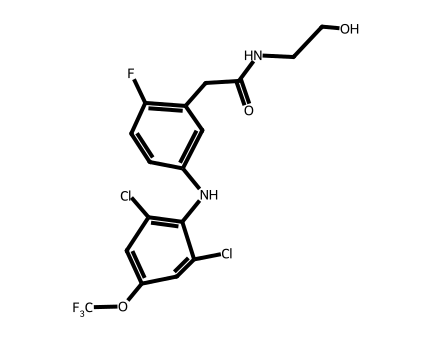 O=C(Cc1cc(Nc2c(Cl)cc(OC(F)(F)F)cc2Cl)ccc1F)NCCO